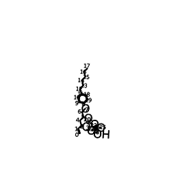 C=CC(=O)CC(COc1ccc(CCCCCC)cc1)OCOS(=O)(=O)O